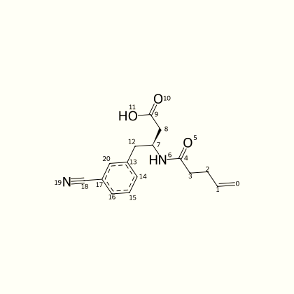 C=CCCC(=O)N[C@H](CC(=O)O)Cc1cccc(C#N)c1